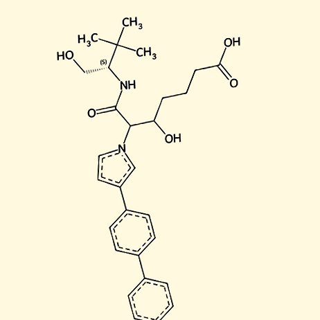 CC(C)(C)[C@@H](CO)NC(=O)C(C(O)CCCC(=O)O)n1ccc(-c2ccc(-c3ccccc3)cc2)c1